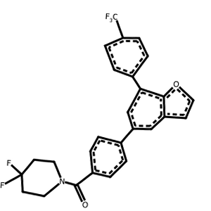 O=C(c1ccc(-c2cc(-c3ccc(C(F)(F)F)cc3)c3occc3c2)cc1)N1CCC(F)(F)CC1